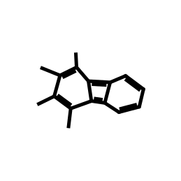 Cc1c(C)c(C)c2c(c1C)=c1ccccc1=2